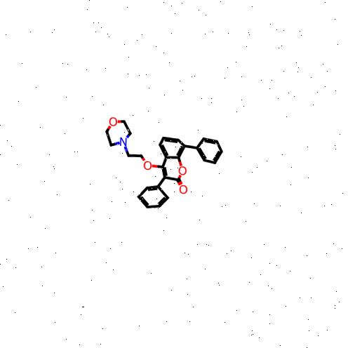 O=c1oc2c(-c3ccccc3)cccc2c(OCCN2CCOCC2)c1-c1ccccc1